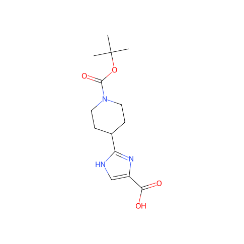 CC(C)(C)OC(=O)N1CCC(c2nc(C(=O)O)c[nH]2)CC1